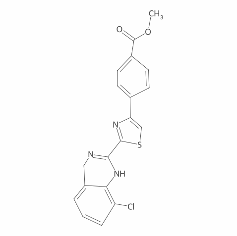 COC(=O)c1ccc(-c2csc(C3=NCc4cccc(Cl)c4N3)n2)cc1